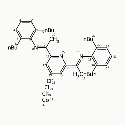 CCCCc1cccc(CCCC)c1N=C(C)c1cccc(C(C)=Nc2c(CCCC)cccc2CCCC)n1.[Cl-].[Cl-].[Cl-].[Co+3]